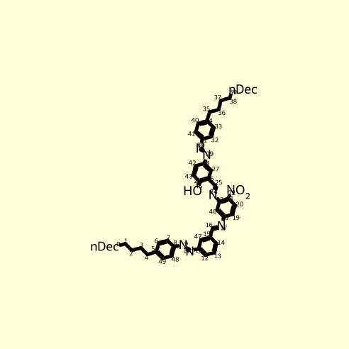 CCCCCCCCCCCCCCc1ccc(/N=N/c2cccc(/C=N/c3ccc([N+](=O)[O-])c(/N=C/c4cc(/N=N/c5ccc(CCCCCCCCCCCCCC)cc5)ccc4O)c3)c2)cc1